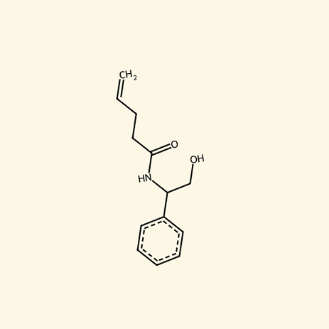 C=CCCC(=O)NC(CO)c1ccccc1